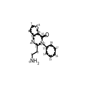 NCCc1nc2ccsc2c(=O)n1-c1ccccc1